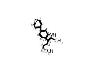 Cc1[nH]c2cc(-c3ccncc3)ccc2c1CCC(=O)O